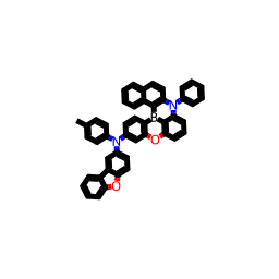 Cc1ccc(N(c2ccc3c(c2)Oc2cccc4c2B3c2c(ccc3ccccc23)N4c2ccccc2)c2ccc3oc4ccccc4c3c2)cc1